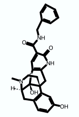 CN1CC[C@]23Cc4[nH]c(=O)c(C(=O)NCc5ccccc5)cc4C[C@@]2(O)[C@H]1Cc1ccc(O)cc13